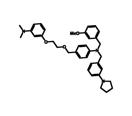 COc1cccc(CN(Cc2cccc(N3CCCC3)c2)c2ccc(COCCOc3cccc(N(C)C)c3)cc2)c1